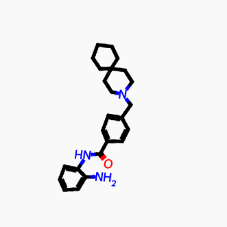 Nc1ccccc1NC(=O)c1ccc(CN2CCC3(CCCCC3)CC2)cc1